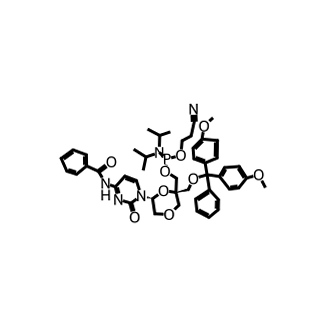 COc1ccc(C(OC[C@@]2(COP(OCCC#N)N(C(C)C)C(C)C)COC[C@H](n3ccc(NC(=O)c4ccccc4)nc3=O)O2)(c2ccccc2)c2ccc(OC)cc2)cc1